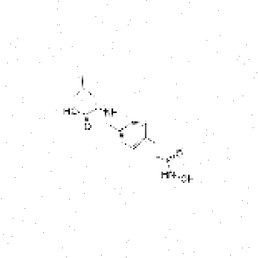 CC(C)C[C@H](NCc1ccc(/C=C/C(=O)NO)cc1)C(=O)O